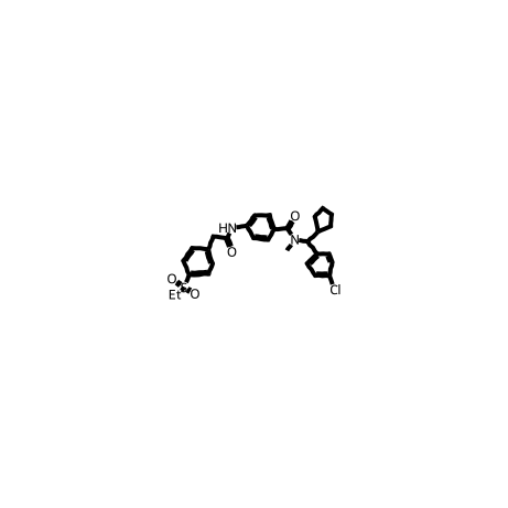 CCS(=O)(=O)c1ccc(CC(=O)Nc2ccc(C(=O)N(C)C(c3ccc(Cl)cc3)C3CCCC3)cc2)cc1